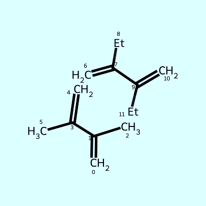 C=C(C)C(=C)C.C=C(CC)C(=C)CC